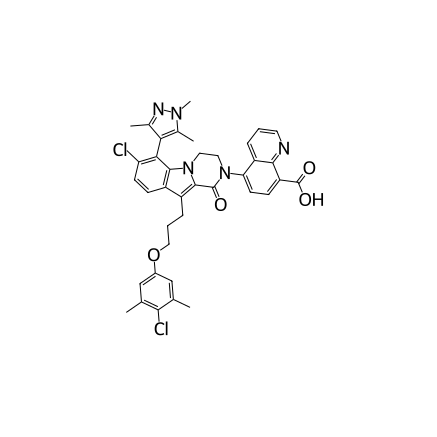 Cc1cc(OCCCc2c3n(c4c(-c5c(C)nn(C)c5C)c(Cl)ccc24)CCN(c2ccc(C(=O)O)c4ncccc24)C3=O)cc(C)c1Cl